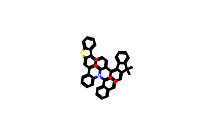 CC1(C)c2ccccc2-c2c(-c3ccccc3N(c3ccccc3-c3ccc4c(c3)sc3ccccc34)c3cccc4ccccc34)cccc21